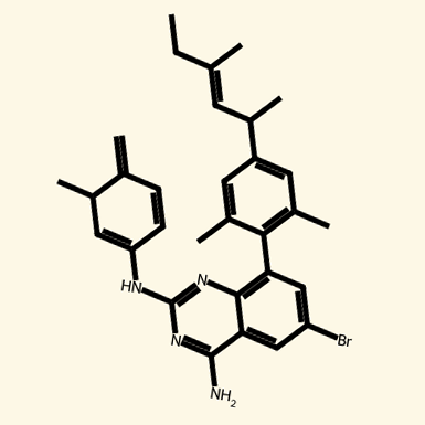 C=C1C=CC(Nc2nc(N)c3cc(Br)cc(-c4c(C)cc(C(C)/C=C(\C)CC)cc4C)c3n2)=CC1C